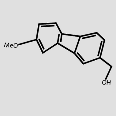 COc1ccc2c(c1)-c1cc(CO)ccc1-2